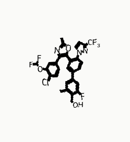 Cc1nc(-c2ccc(Cl)c(OC(F)F)c2)c(-c2cc(-c3cc(C)c(CO)c(F)c3)ccc2-n2ccc(C(F)(F)F)n2)o1